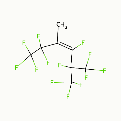 C/C(=C(\F)C(F)(C(F)(F)F)C(F)(F)F)C(F)(F)C(F)(F)F